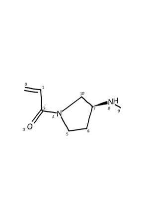 C=CC(=O)N1CC[C@H](NC)C1